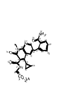 Cn1c(=O)c(C(=O)NCC(=O)O)c(C2CC2)c2cc(-c3ccccc3C(N)=O)cnc21